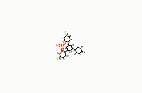 O=S(=O)(O)c1c(C2CCC(F)CC2)cc(C2CCC(F)CC2)cc1C1CCC(F)CC1